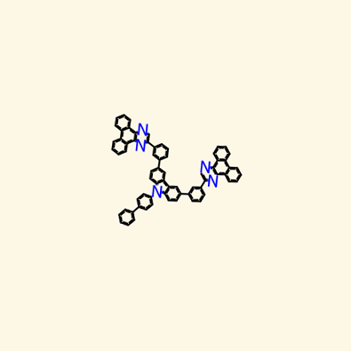 c1ccc(-c2ccc(-n3c4ccc(-c5cccc(-c6cnc7c8ccccc8c8ccccc8c7n6)c5)cc4c4cc(-c5cccc(-c6cnc7c8ccccc8c8ccccc8c7n6)c5)ccc43)cc2)cc1